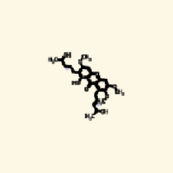 COc1cc2oc3cc(OC)c(OC)c(C/C=C/C(C)O)c3c(=O)c2c(O)c1C/C=C/C(C)O